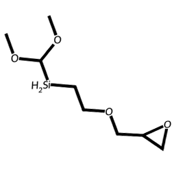 COC(OC)[SiH2]CCOCC1CO1